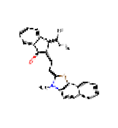 BN1/C(=C/C=C2\C(=O)c3ccccc3C2=C(C#N)C#N)Sc2c1ccc1ccccc21